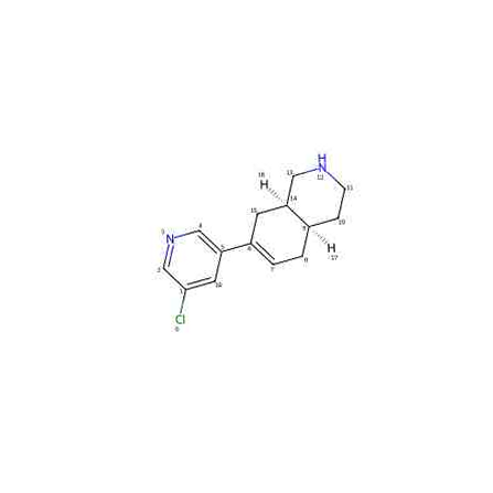 Clc1cncc(C2=CC[C@@H]3CCNC[C@@H]3C2)c1